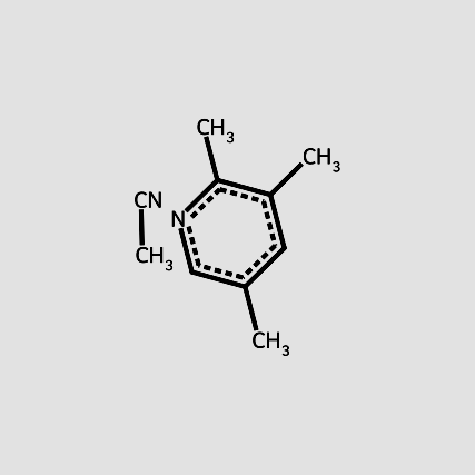 CC#N.Cc1cnc(C)c(C)c1